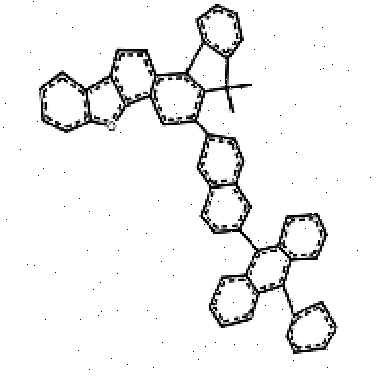 CC1(C)c2ccccc2-c2c1c(-c1ccc3cc(-c4c5ccccc5c(-c5ccccc5)c5ccccc45)ccc3c1)cc1c2ccc2c3ccccc3oc12